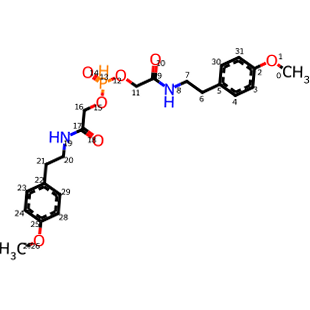 COc1ccc(CCNC(=O)CO[PH](=O)OCC(=O)NCCc2ccc(OC)cc2)cc1